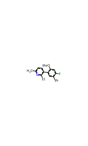 CCc1nc(C)ccc1-c1cc(C(C)C)c(F)cc1OC